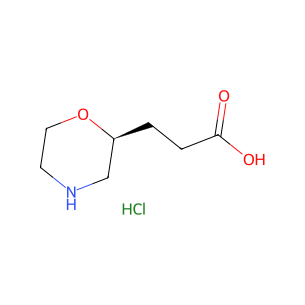 Cl.O=C(O)CC[C@H]1CNCCO1